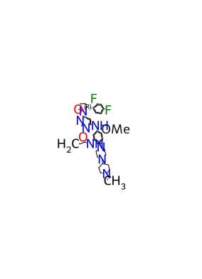 C=CC(=O)Nc1cc(Nc2cc(N3OCC[C@@H]3c3ccc(F)cc3F)ncn2)c(OC)cc1N1CCN(C2CCN(C)CC2)CC1